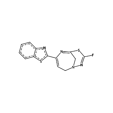 FC1=NN2CC=C(c3nc4ccccc4s3)N=C(C2)S1